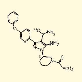 C=CC(=O)N1CCC[C@@H](n2nc(-c3ccc(Oc4ccccc4)cc3)c(C(N)O)c2N)C1